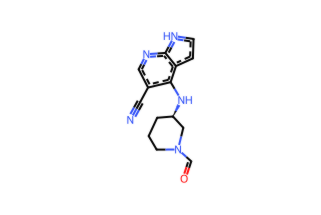 N#Cc1cnc2[nH]ccc2c1N[C@@H]1CCCN(C=O)C1